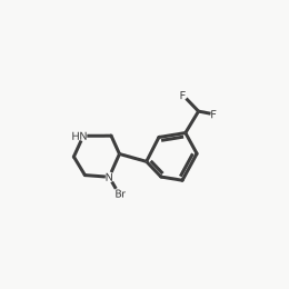 FC(F)c1cccc(C2CNCCN2Br)c1